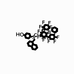 C[S+](Cc1cccc2ccccc12)c1ccc(O)cc1.Fc1c(F)c(F)c([B-](c2ccccc2)(c2c(F)c(F)c(F)c(F)c2F)c2c(F)c(F)c(F)c(F)c2F)c(F)c1F